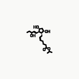 CC[C@H](O)/C=C/[C@@H]1[C@@H](C/C=C\CCCC(=O)OC(C)C)[C@@H](O)C[C@H]1O